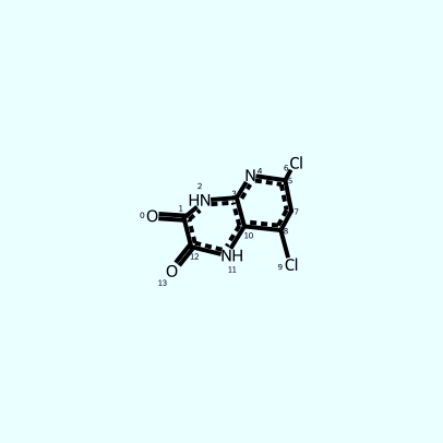 O=c1[nH]c2nc(Cl)cc(Cl)c2[nH]c1=O